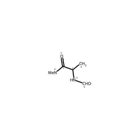 CNC(=O)C(C)N[C]=O